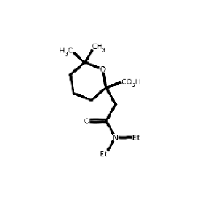 CCN(CC)C(=O)CC1(C(=O)O)CCCC(C)(C)O1